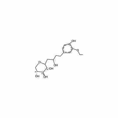 CCOc1cc(CCC(O)CC2OC[C@@H](O)[C@H](O)[C@H]2O)ccc1O